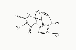 CN1C(=N)N[C@](C)(c2ccc(C#N)cc2)[C@H](c2ccc(C3CC3)cc2)C1=O